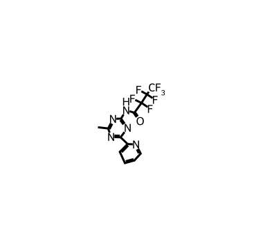 Cc1nc(NC(=O)C(F)(F)C(F)(F)C(F)(F)F)nc(-c2ccccn2)n1